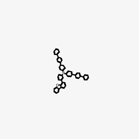 C1=CC(c2ccc(-c3ccccc3)cc2)CC=C1N(c1ccc(-c2ccc(-c3ccccc3)cc2)cc1)c1cccc(-c2cccc3c2oc2ccccc23)c1